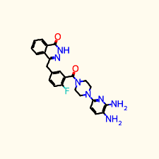 Nc1ccc(N2CCN(C(=O)c3cc(Cc4n[nH]c(=O)c5ccccc45)ccc3F)CC2)nc1N